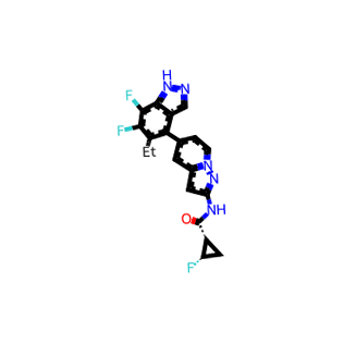 CCc1c(F)c(F)c2[nH]ncc2c1-c1ccn2nc(NC(=O)[C@@H]3C[C@@H]3F)cc2c1